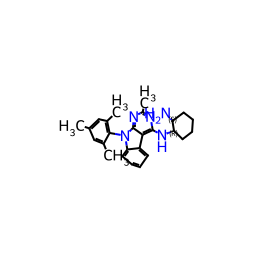 Cc1cc(C)c(-n2c3ccccc3c3c(N[C@@H]4CCCC[C@@H]4N)nc(C)nc32)c(C)c1